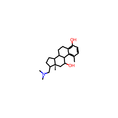 Cc1ccc(O)c2c1C1C(O)C[C@]3(C)C(CN(C)C)CCC3C1CC2